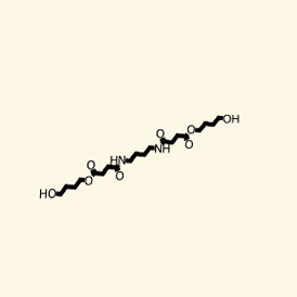 O=C(CCC(=O)OCCCCO)NCCCCNC(=O)CCC(=O)OCCCCO